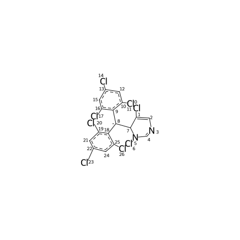 ClC1=CN=CN(Cl)C1[C](c1c(Cl)cc(Cl)cc1Cl)c1c(Cl)cc(Cl)cc1Cl